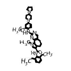 CCc1cccc(CC)c1NC(=O)c1cn(C)c2c1CCCc1cnc(Nc3ccc(N4CCC(N5CCCC5)CC4)cc3OC)nc1-2